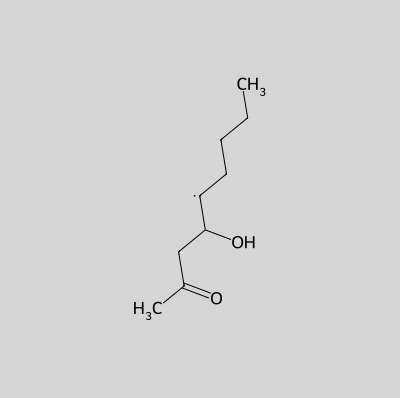 CCCC[CH]C(O)CC(C)=O